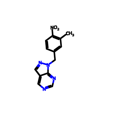 Cc1cc(Cn2ncc3cncnc32)ccc1[N+](=O)[O-]